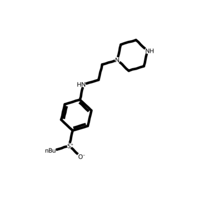 CCCC[S+]([O-])c1ccc(NCCN2CCNCC2)cc1